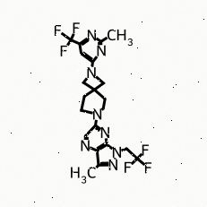 Cc1nc(N2CC3(CCN(c4cnc5c(C)nn(CC(F)(F)F)c5n4)CC3)C2)cc(C(F)(F)F)n1